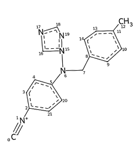 [C-]#[N+]c1ccc(N(Cc2ccc(C)cc2)n2cncn2)cc1